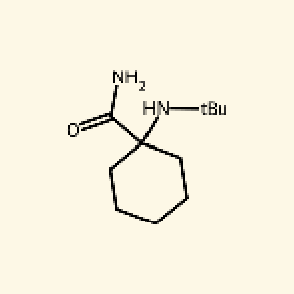 CC(C)(C)NC1(C(N)=O)CCCCC1